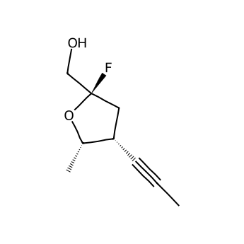 CC#C[C@H]1C[C@@](F)(CO)O[C@H]1C